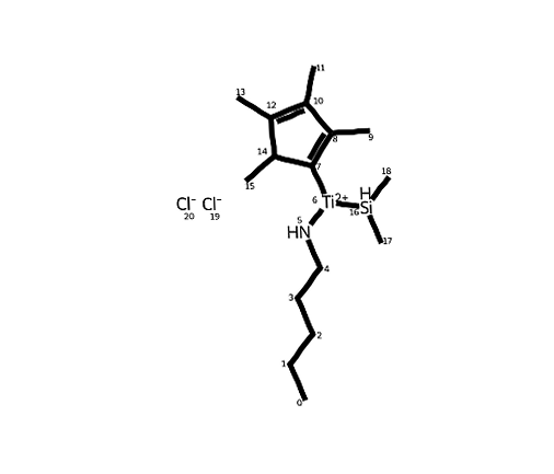 CCCCC[NH][Ti+2]([C]1=C(C)C(C)=C(C)C1C)[SiH](C)C.[Cl-].[Cl-]